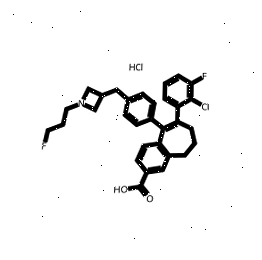 Cl.O=C(O)c1ccc2c(c1)CCCC(c1cccc(F)c1Cl)=C2c1ccc(CC2CN(CCCF)C2)cc1